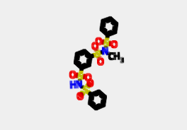 CN(S(=O)(=O)c1ccccc1)S(=O)(=O)c1cccc(S(=O)(=O)NS(=O)(=O)c2ccccc2)c1